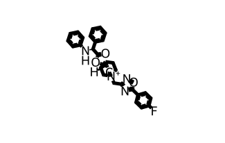 O=C(O[C@H]1C[N+]2(Cc3noc(-c4ccc(F)cc4)n3)CCC1CC2)[C@H](Nc1ccccc1)c1ccccc1